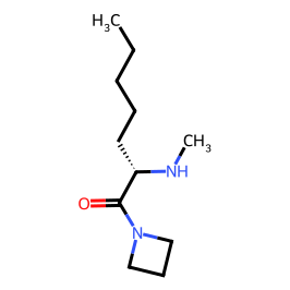 CCCCC[C@H](NC)C(=O)N1CCC1